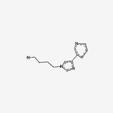 [N]CCCCn1cnc(-c2cccnc2)c1